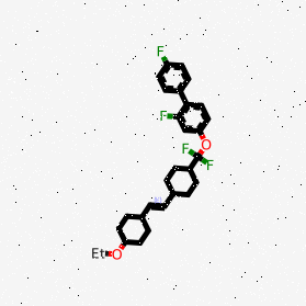 CCOC1CCC(/C=C/C2CCC(C(F)(F)Oc3ccc(-c4ccc(F)cc4)c(F)c3)CC2)CC1